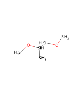 [SiH3]O[SiH2][SiH]([SiH3])O[SiH3]